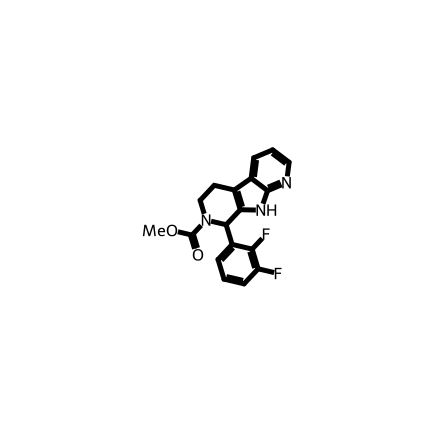 COC(=O)N1CCc2c([nH]c3ncccc23)C1c1cccc(F)c1F